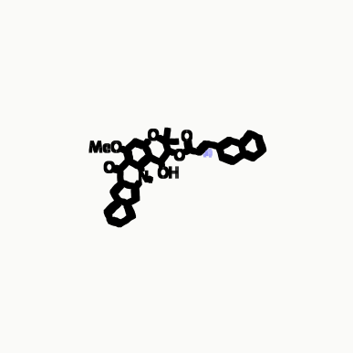 COc1cc2c(c3c1c(=O)c1cc4ccccc4cc1n3C)C(O)C(OC(=O)/C=C/c1ccc3ccccc3c1)C(C)(C)O2